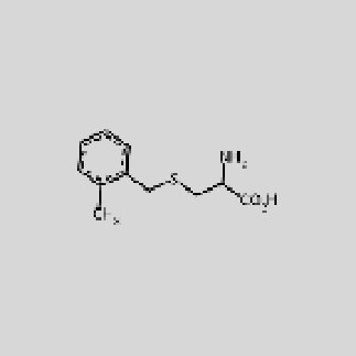 Cc1ccccc1CSCC(N)C(=O)O